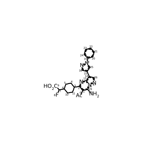 CC(=O)c1c(C2CCC(C(F)C(=O)O)CC2)nc2c(-c3cnn(-c4ccccc4)c3)cnn2c1N